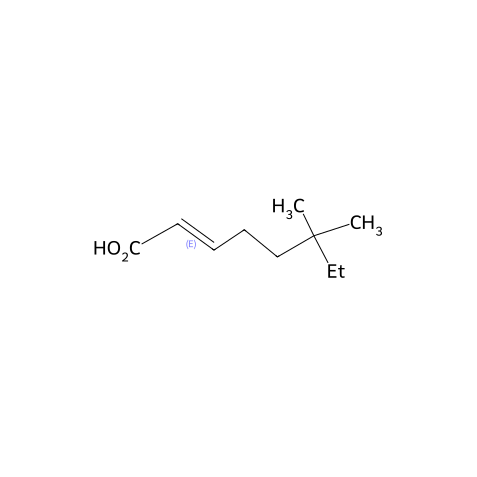 CCC(C)(C)CC/C=C/C(=O)O